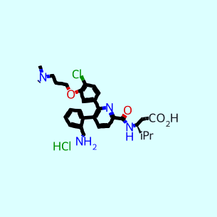 CC(C)[C@H](CC(=O)O)NC(=O)c1ccc(-c2ccccc2CN)c(-c2ccc(Cl)c(OCCCN(C)C)c2)n1.Cl